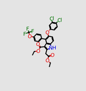 CCOC(=O)Cc1[nH]c2ccc(Oc3ccc(Cl)c(Cl)c3)c(-c3ccc(OC(F)(F)F)cc3)c2c1C(=O)OCC